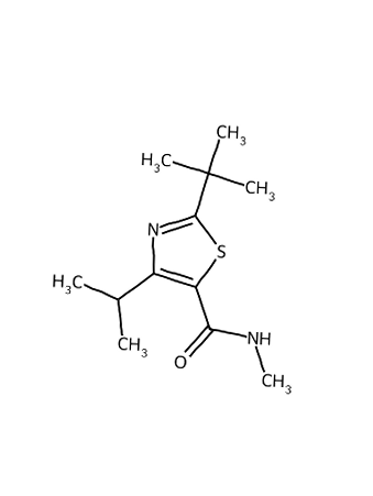 CNC(=O)c1sc(C(C)(C)C)nc1C(C)C